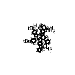 CC(C)(C)c1ccc(N2B3c4sc5ccc(C(C)(C)C)cc5c4-n4c5cc6c(cc5c5c7oc8ccccc8c7c(c3c54)-c3cc4c(cc32)-c2ccccc2C4(C)C)C(C)(C)CCC6(C)C)cc1